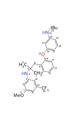 COc1cc(NC(C)(C)Cc2ccccc2Oc2cccc(NC(C)(C)C)c2)cc(C(F)(F)F)c1